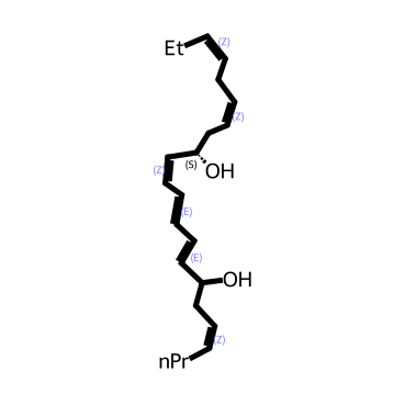 CC/C=C\C/C=C\C[C@H](O)\C=C/C=C/C=C/C(O)C/C=C\CCC